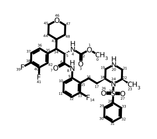 COC(=O)N[C@H](C(=O)Nc1cccc(F)c1CC[C@H]1CNC[C@@H](C)N1S(=O)(=O)c1ccccc1)C(c1ccc(F)c(F)c1)C1CCOCC1